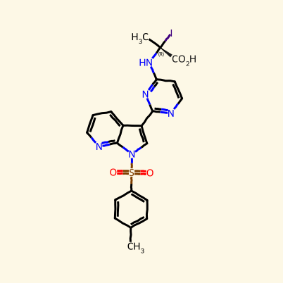 Cc1ccc(S(=O)(=O)n2cc(-c3nccc(N[C@](C)(I)C(=O)O)n3)c3cccnc32)cc1